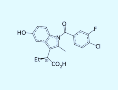 CC[C@H](C(=O)O)c1c(C)n(C(=O)c2ccc(Cl)c(F)c2)c2ccc(O)cc12